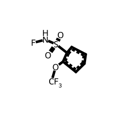 O=S(=O)(NF)c1ccccc1OC(F)(F)F